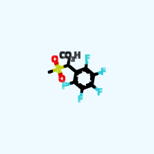 CS(=O)(=O)C(C(=O)O)c1c(F)c(F)c(F)c(F)c1F